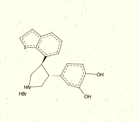 Br.Oc1ccc([C@@H]2CNC[C@H]2c2cccc3ccsc23)cc1O